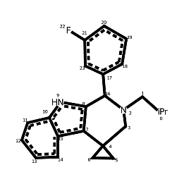 CC(C)CN1CC2(CC2)c2c([nH]c3ccccc23)C1c1cccc(F)c1